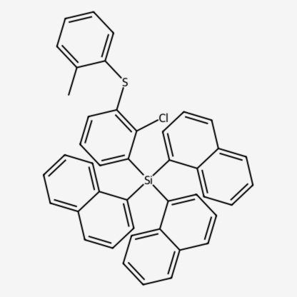 Cc1ccccc1Sc1cccc([Si](c2cccc3ccccc23)(c2cccc3ccccc23)c2cccc3ccccc23)c1Cl